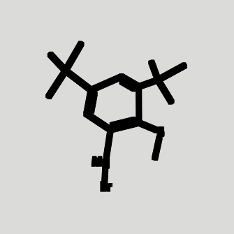 CSc1[c]([Mg][Br])cc(C(C)(C)C)cc1C(C)(C)C